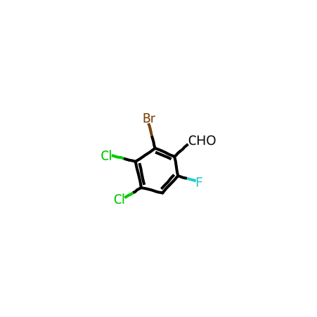 O=Cc1c(F)cc(Cl)c(Cl)c1Br